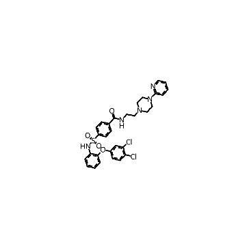 O=C(NCCN1CCN(c2ccccn2)CC1)c1ccc(S(=O)(=O)Nc2ccccc2Oc2ccc(Cl)c(Cl)c2)cc1